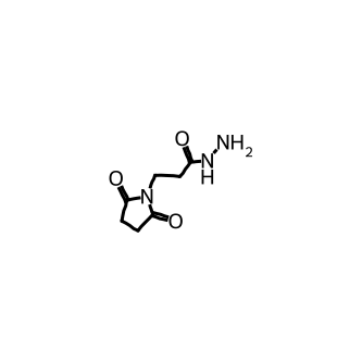 NNC(=O)CCN1C(=O)CCC1=O